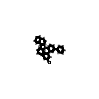 Clc1cccc(-c2cc(-c3ccccc3)ccc2-n2c3ccccc3c3c4ccccc4ccc32)c1